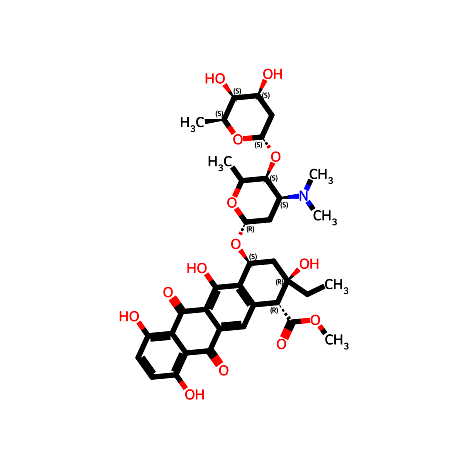 CC[C@@]1(O)C[C@H](O[C@H]2C[C@H](N(C)C)[C@H](O[C@H]3C[C@H](O)[C@H](O)[C@H](C)O3)C(C)O2)c2c(cc3c(c2O)C(=O)c2c(O)ccc(O)c2C3=O)[C@H]1C(=O)OC